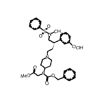 COC(=O)CN(C(=O)OCc1ccccc1)C1CCN(CC[C@H](CN(C)S(=O)(=O)c2ccccc2)c2cccc(Cl)c2)CC1.Cl